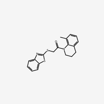 Cc1cccc2c1N(C(=O)CSc1nc3ccccc3s1)CCC2